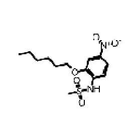 CCCCCCOc1cc([N+](=O)[O-])ccc1NS(C)(=O)=O